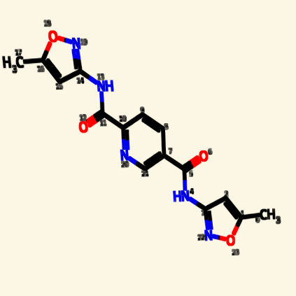 Cc1cc(NC(=O)c2ccc(C(=O)Nc3cc(C)on3)nc2)no1